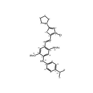 CC[n+]1nc(N2CCCC2)sc1N=Nc1cc(OC)c(Nc2ccc(N(C)C)cc2)cc1NC(C)=O